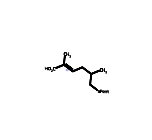 CCCCCCC(C)C/C=C(\C)C(=O)O